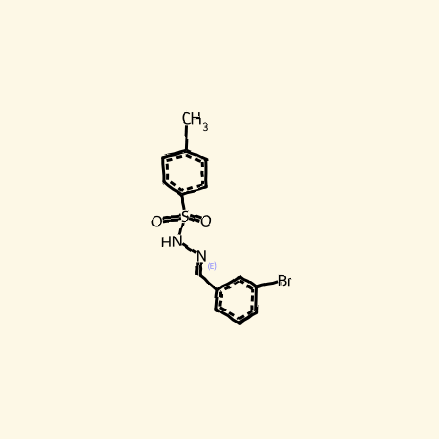 Cc1ccc(S(=O)(=O)N/N=C/c2cccc(Br)c2)cc1